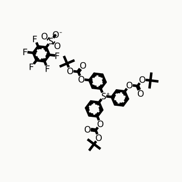 CC(C)(C)OC(=O)Oc1cccc([S+](c2cccc(OC(=O)OC(C)(C)C)c2)c2cccc(OC(=O)OC(C)(C)C)c2)c1.O=S(=O)([O-])c1c(F)c(F)c(F)c(F)c1F